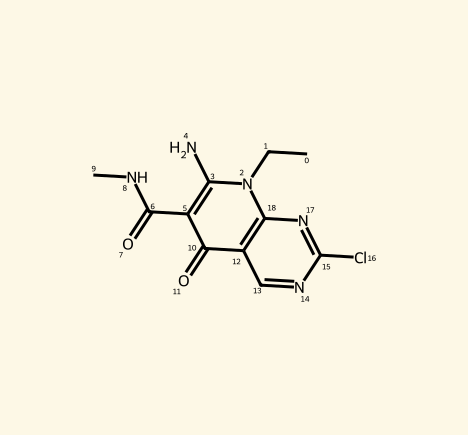 CCn1c(N)c(C(=O)NC)c(=O)c2cnc(Cl)nc21